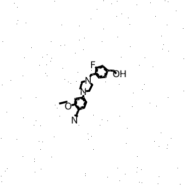 CCOc1cc(N2CCN(Cc3ccc(CO)cc3F)CC2)ccc1C#N